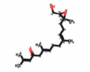 CC(C)=CC(=O)C/C(C)=C/CC/C(C)=C/CC[C@@]1(C)O[C@@H]1CO